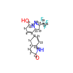 O=C1C=CC2CC(C3=CCC(O)N4N=C(C(F)(F)F)CC34)C=CC2N1